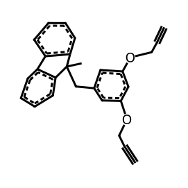 C#CCOc1cc(CC2(C)c3ccccc3-c3ccccc32)cc(OCC#C)c1